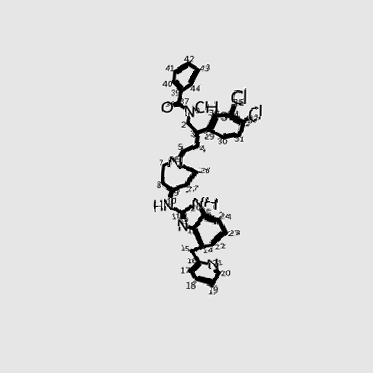 CN(CC(CCN1CCC(Nc2nc3c(Cc4ccccn4)cccc3[nH]2)CC1)c1ccc(Cl)c(Cl)c1)C(=O)c1ccccc1